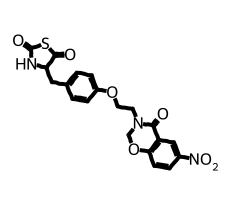 O=C1NC(Cc2ccc(OCCN3COc4ccc([N+](=O)[O-])cc4C3=O)cc2)C(=O)S1